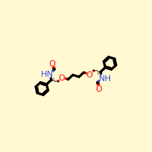 O=CN[C@H](COCCCCOC[C@@H](NC=O)c1ccccc1)c1ccccc1